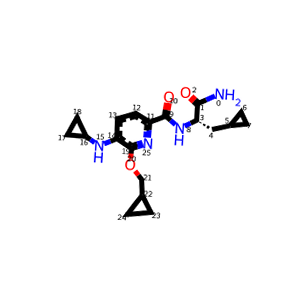 NC(=O)[C@H](CC1CC1)NC(=O)c1ccc(NC2CC2)c(OCC2CC2)n1